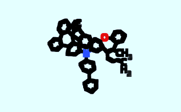 C=C/C=C\C1=C(C)c2ccccc2Oc2ccc(N(c3ccc(-c4ccccc4)cc3)c3ccc4c(c3)C3(c5ccccc5-c5ccccc5-4)c4ccccc4-c4ccccc43)cc21